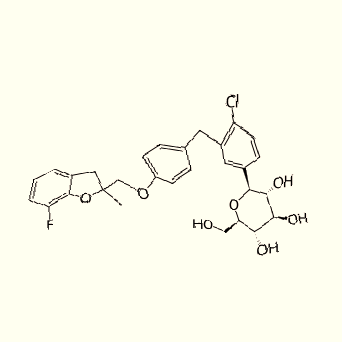 CC1(COc2ccc(Cc3cc([C@@H]4O[C@H](CO)[C@@H](O)[C@H](O)[C@H]4O)ccc3Cl)cc2)Cc2cccc(F)c2O1